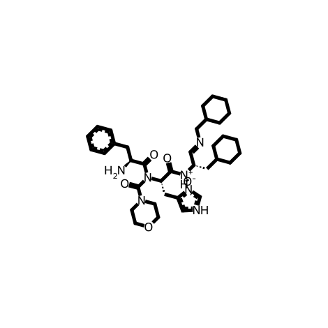 N[C@@H](Cc1ccccc1)C(=O)N(C(=O)N1CCOCC1)[C@@H](Cc1c[nH]cn1)C(=O)[NH+]([O-])[C@H](C=NCC1CCCCC1)CC1CCCCC1